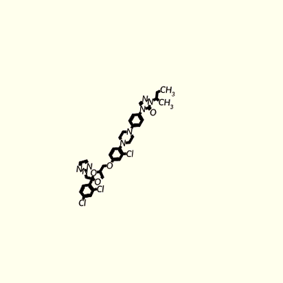 CCC(C)n1ncn(-c2ccc(N3CCN(c4ccc(OCC5COC(Cn6nccn6)(c6ccc(Cl)cc6Cl)O5)cc4Cl)CC3)cc2)c1=O